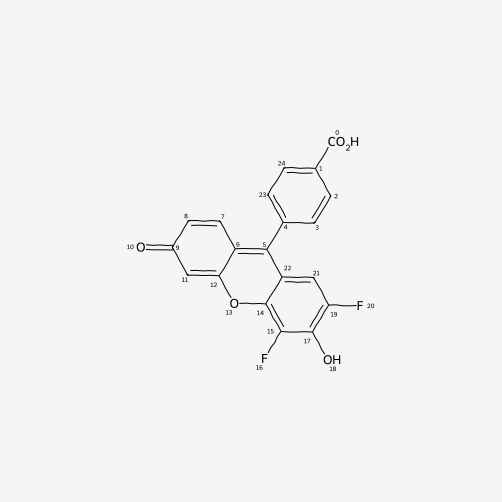 O=C(O)c1ccc(-c2c3ccc(=O)cc-3oc3c(F)c(O)c(F)cc23)cc1